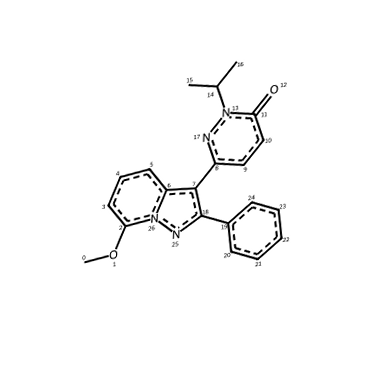 COc1cccc2c(-c3ccc(=O)n(C(C)C)n3)c(-c3ccccc3)nn12